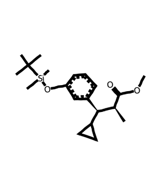 COC(=O)[C@@H](C)[C@H](c1cccc(O[Si](C)(C)C(C)(C)C)c1)C1CC1